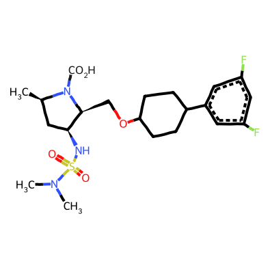 C[C@@H]1C[C@H](NS(=O)(=O)N(C)C)[C@H](COC2CCC(c3cc(F)cc(F)c3)CC2)N1C(=O)O